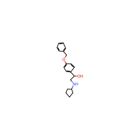 OC(CNC1CCCC1)c1ccc(OCc2ccccc2)cc1